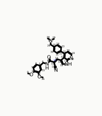 COc1ccc(CNC(=O)/C(C#N)=C/c2c[nH]c3nccc(-c4ccc(CN(C)C)cc4)c23)cc1OC